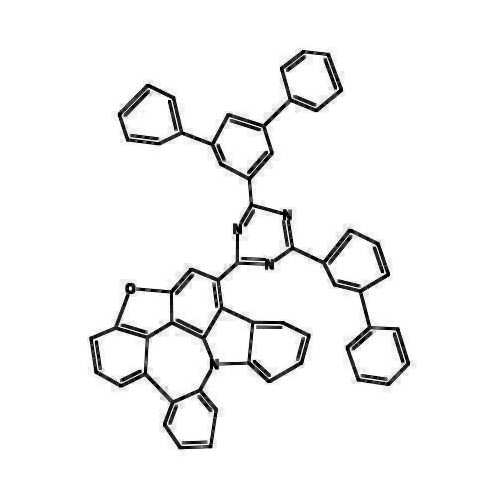 c1ccc(-c2cccc(-c3nc(-c4cc(-c5ccccc5)cc(-c5ccccc5)c4)nc(-c4cc5oc6cccc7c8ccccc8n8c9ccccc9c4c8c5c67)n3)c2)cc1